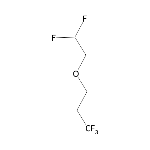 FC(F)COCCC(F)(F)F